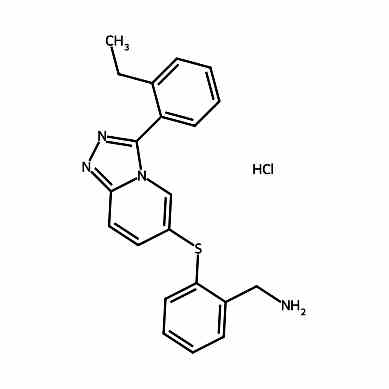 CCc1ccccc1-c1nnc2ccc(Sc3ccccc3CN)cn12.Cl